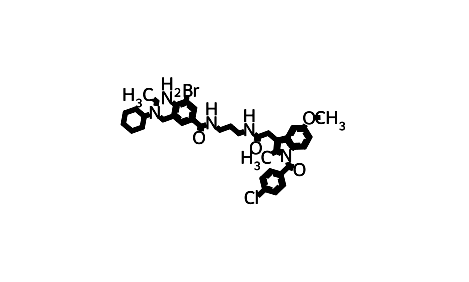 CCN(Cc1cc(C(=O)NCCCNC(=O)Cc2c(C)n(C(=O)c3ccc(Cl)cc3)c3ccc(OC)cc23)cc(Br)c1N)C1CCCCC1